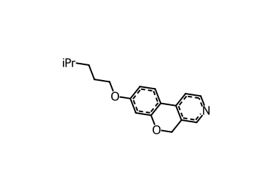 CC(C)CCCOc1ccc2c(c1)OCc1cnccc1-2